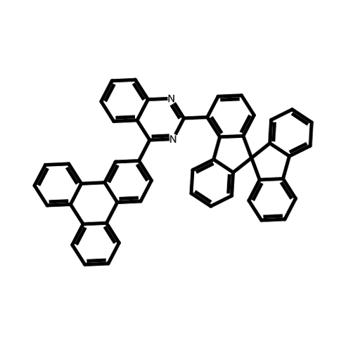 c1ccc2c(c1)-c1ccccc1C21c2ccccc2-c2c(-c3nc(-c4ccc5c6ccccc6c6ccccc6c5c4)c4ccccc4n3)cccc21